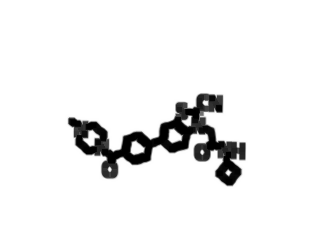 CN1CCN(C(=O)c2ccc(-c3ccc4c(c3)S[C](C#N)N4CC(=O)NC3CCC3)cc2)CC1